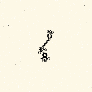 Cc1noc(=O)c2ccc(N3C(=O)C(C)(C)N(CCCCCCN4CCN(S(C)(=O)=O)CC4)C3=S)cc12